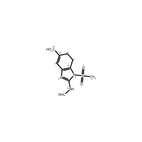 CS(=O)(=O)n1c(NC=O)nc2c1CCC(C(=O)O)=C2